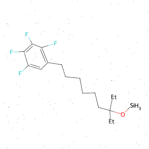 CCC(CC)(CCCCCCc1cc(F)c(F)c(F)c1F)O[SiH3]